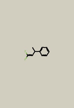 CC(C=C(F)F)c1ccccc1